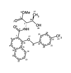 COC(=O)[C@@H](NC(=O)c1ccc2ccccc2c1OCc1ccc(C(F)(F)F)cc1)[C@@H](C)O